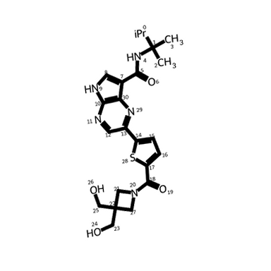 CC(C)C(C)(C)NC(=O)c1c[nH]c2ncc(-c3ccc(C(=O)N4CC(CO)(CO)C4)s3)nc12